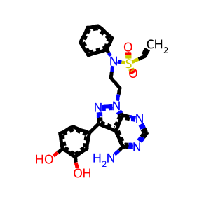 C=CS(=O)(=O)N(CCn1nc(-c2ccc(O)c(O)c2)c2c(N)ncnc21)c1ccccc1